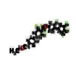 CCOCCC1CCC(c2cc(F)c(C(F)(F)Oc3ccc(-c4cc(F)c(F)c(F)c4)c(F)c3)c(F)c2)CC1